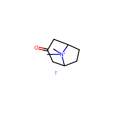 C[N+]1(C)C2CCC1CC(=O)C2.[I-]